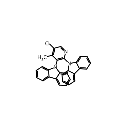 Cc1c(Cl)cnc(-n2c3ccccc3c3ccccc32)c1-n1c2ccccc2c2ccccc21